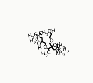 CC(OCC(O)C[N+](C)(C)C)C(O)(COCCO)C[N+](C)(C)C